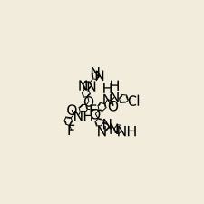 Cn1cc(-c2cnc3ccc(Oc4ccc(NC(=O)c5cccc(F)c5)cc4F)cc3n2)cn1.O=C(Nc1ccc(Cl)cc1)Nc1ccc(Oc2ccc3ncc(N4CCNCC4)nc3c2)cc1